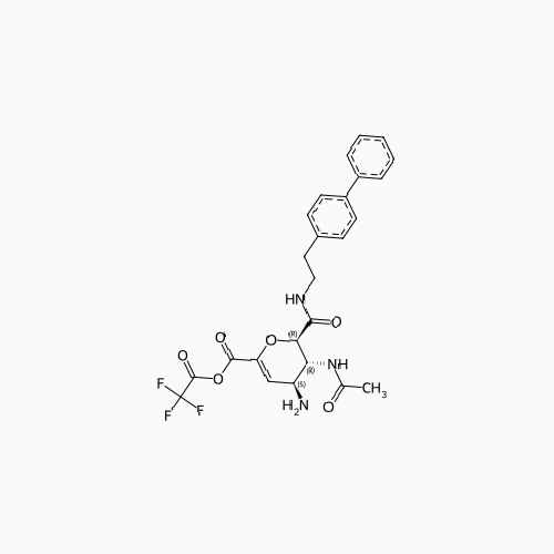 CC(=O)N[C@@H]1[C@@H](N)C=C(C(=O)OC(=O)C(F)(F)F)O[C@H]1C(=O)NCCc1ccc(-c2ccccc2)cc1